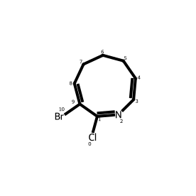 ClC1=N/C=C\CCC/C=C\1Br